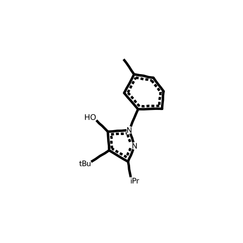 Cc1cccc(-n2nc(C(C)C)c(C(C)(C)C)c2O)c1